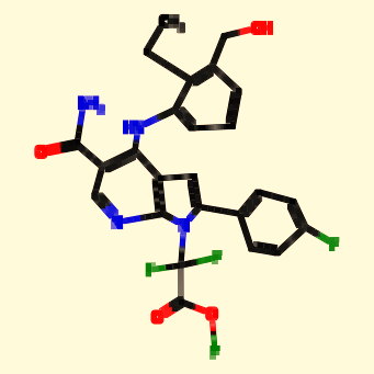 CCc1c(CO)cccc1Nc1c(C(N)=O)cnc2c1cc(-c1ccc(F)cc1)n2C(F)(F)C(=O)OF